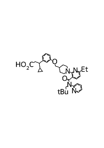 CCc1ccc(C(=O)N(CC(C)(C)C)c2ccccn2)c(N2CCC(COc3cccc(C(CC(=O)O)C4CC4)c3)CC2)n1